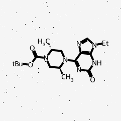 CCn1cnc2c(N3C[C@@H](C)N(C(=O)OC(C)(C)C)C[C@@H]3C)nc(=O)[nH]c21